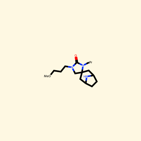 COCCCN1CC2(CC3CCC(C2)N3)N(C(C)C)C1=O